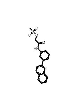 CS(=O)(=O)OCC(=O)Nc1cccc(-c2cnc3ccccc3n2)c1